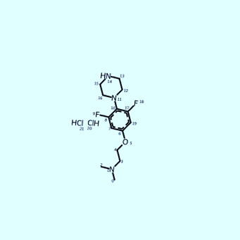 CN(C)CCOc1cc(F)c(N2CCNCC2)c(F)c1.Cl.Cl